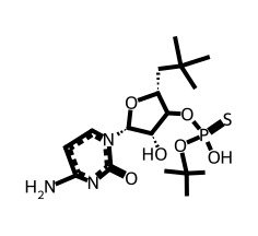 CC(C)(C)C[C@H]1O[C@@H](n2ccc(N)nc2=O)[C@@H](O)C1OP(O)(=S)OC(C)(C)C